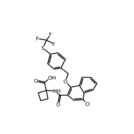 O=C(NC1(C(=O)O)CCC1)c1cc(Cl)c2ccccc2c1OCc1ccc(SC(F)(F)F)cc1